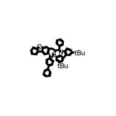 CC(C)(C)c1ccc2c(c1)c1cc(C(C)(C)C)cc3c1n2C(c1ccccc1)C1Cc2cc4oc5ccccc5c4cc2N(c2ccc(-c4ccccc4)cc2)B31